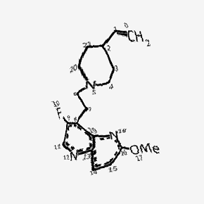 C=CC1CCN(CCc2c(F)cnc3ccc(OC)nc23)CC1